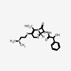 CN(C)CCSC1=C(C(=O)O)N2C(=O)[C@@H](NC(=O)C(O)c3ccccc3)[C@@H]2SC1